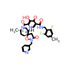 Cc1cc(F)c(CNC(=O)c2cn3c(c(O)c2=O)C(=O)N2C[C@@H]3[C@]3(CC[C@@H]2C)CC(=O)N(Cc2cccnc2)O3)c(F)c1